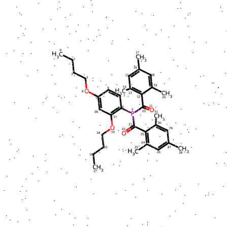 CCCCOc1ccc(P(C(=O)c2c(C)cc(C)cc2C)C(=O)c2c(C)cc(C)cc2C)c(OCCCC)c1